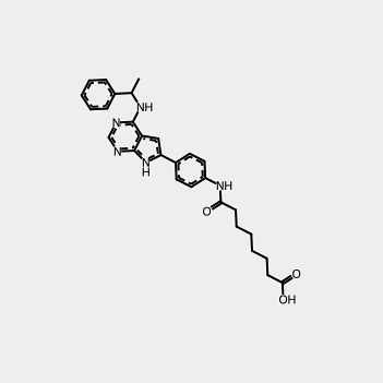 CC(Nc1ncnc2[nH]c(-c3ccc(NC(=O)CCCCCCC(=O)O)cc3)cc12)c1ccccc1